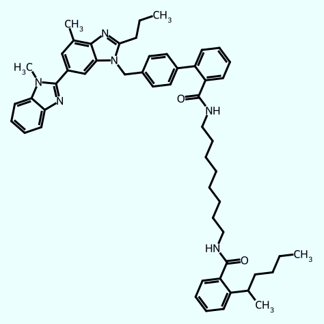 CCCCC(C)c1ccccc1C(=O)NCCCCCCCCNC(=O)c1ccccc1-c1ccc(Cn2c(CCC)nc3c(C)cc(-c4nc5ccccc5n4C)cc32)cc1